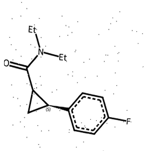 CCN(CC)C(=O)C1C[C@@H]1c1ccc(F)cc1